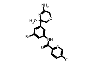 C[C@@]1(c2cc(Br)cc(NC(=O)c3ccc(Cl)cn3)c2)COCC(N)=N1